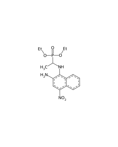 CCOP(=O)(OCC)C(C)Nc1c(N)cc([N+](=O)[O-])c2ccccc12